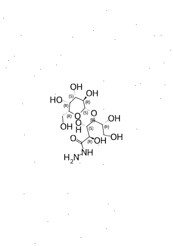 NNC(=O)[C@H](O)[C@H](O)[C@H](O[C@@H]1O[C@H](CO)[C@H](O)[C@H](O)[C@H]1O)[C@H](O)CO